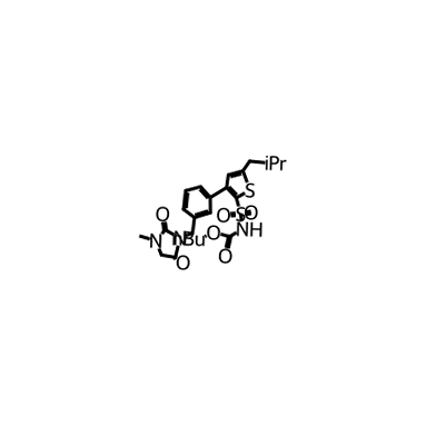 CCCCOC(=O)NS(=O)(=O)c1sc(CC(C)C)cc1-c1cccc(CN2C(=O)CN(C)C2=O)c1